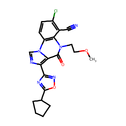 COCCn1c(=O)c2c(-c3noc(C4CCCC4)n3)ncn2c2ccc(Cl)c(C#N)c21